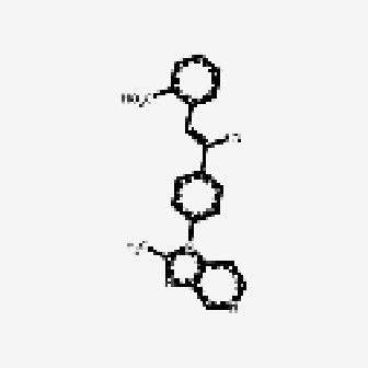 Cc1nc2cnccc2n1-c1ccc(C(C#N)=Cc2ccccc2C(=O)O)cc1